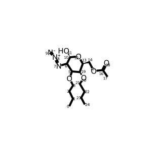 CCCCOC1C(N=[N+]=[N-])[C@H](O)O[C@@H](COC(C)=O)[C@H]1OCCCC